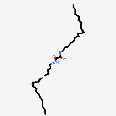 CCCCCCCC/C=C\CCCCCCCCNC(=O)C(=O)NCCCCCCCC/C=C\CCCCCCCC